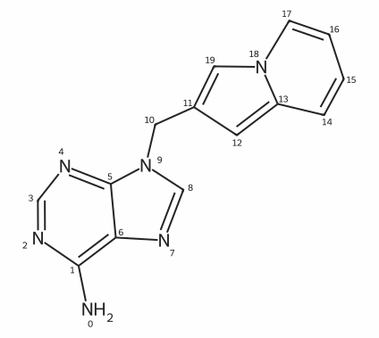 Nc1ncnc2c1ncn2Cc1cc2ccccn2c1